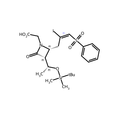 C[C@@H](O[Si](C)(C)C(C)(C)C)[C@@H]1C(=O)N(CC(=O)O)[C@@H]1C/C(I)=C\S(=O)(=O)c1ccccc1